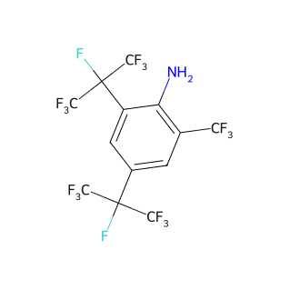 Nc1c(C(F)(F)F)cc(C(F)(C(F)(F)F)C(F)(F)F)cc1C(F)(C(F)(F)F)C(F)(F)F